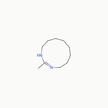 C/C1=N/CCCCCCCCN1